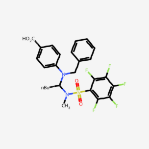 CCCCC(N(Cc1ccccc1)c1ccc(C(=O)O)cc1)N(C)S(=O)(=O)c1c(F)c(F)c(F)c(F)c1F